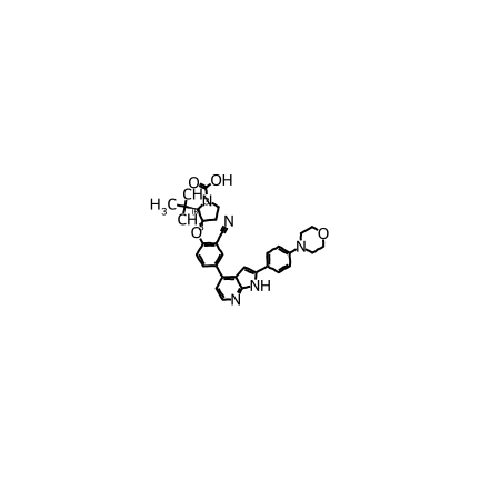 CC(C)(C)[C@@H]1C(Oc2ccc(-c3ccnc4[nH]c(-c5ccc(N6CCOCC6)cc5)cc34)cc2C#N)CCN1C(=O)O